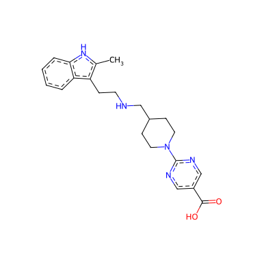 Cc1[nH]c2ccccc2c1CCNCC1CCN(c2ncc(C(=O)O)cn2)CC1